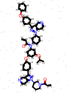 C=CC(=O)N1CCC[C@@H](n2nc(-c3ccc(Oc4cc(OC(C)C)cc(N(C(=O)C=C)c5cccc(-n6nc(-c7ccc(Oc8ccccc8)cc7)c7cnccc76)c5)c4)cc3)c3cnccc32)C1